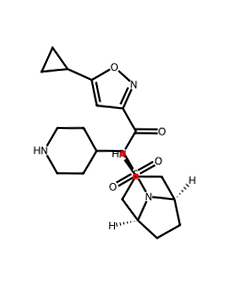 O=C(N[C@H]1C[C@H]2CC[C@@H](C1)N2S(=O)(=O)CC1CCNCC1)c1cc(C2CC2)on1